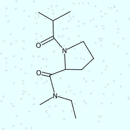 CCN(C)C(=O)C1CCCN1C(=O)C(C)C